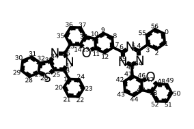 c1ccc(-c2nc(-c3ccc4c(c3)oc3c(-c5nc(-c6ccccc6)c6sc7ccccc7c6n5)cccc34)nc(-c3cccc4c3oc3ccccc34)n2)cc1